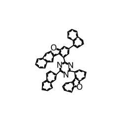 c1ccc2cc(-c3nc(-c4cccc5oc6ccccc6c45)nc(-c4cc(-c5cccc6ccccc56)cc5oc6cc7ccccc7cc6c45)n3)ccc2c1